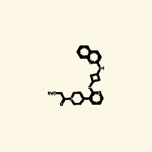 COCC(=O)N1CCC(c2cccnc2OC2CC(Nc3ccc4ccccc4n3)C2)CC1